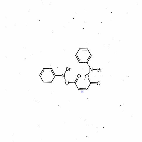 O=C(/C=C\C(=O)ON(Br)c1ccccc1)ON(Br)c1ccccc1